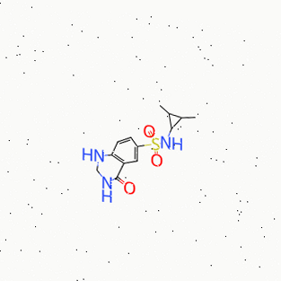 CC1C(C)C1NS(=O)(=O)c1ccc2c(c1)C(=O)NCN2